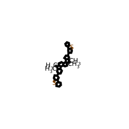 CC1(C)c2cc(-c3ccc4sc5ccccc5c4c3)ccc2-c2c1ccc1c3c(ccc21)C(C)(C)c1cc(-c2ccc4sc5ccccc5c4c2)ccc1-3